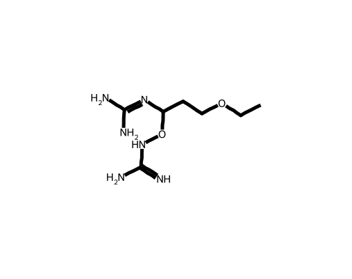 CCOCCC(N=C(N)N)ONC(=N)N